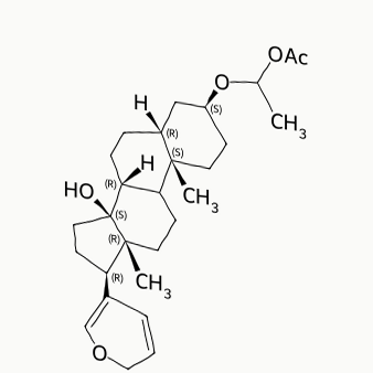 CC(=O)OC(C)O[C@H]1CC[C@]2(C)C3CC[C@]4(C)[C@@H](C5=COCC=C5)CC[C@]4(O)[C@@H]3CC[C@@H]2C1